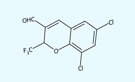 O=CC1=Cc2cc(Cl)cc(Cl)c2OC1C(F)(F)F